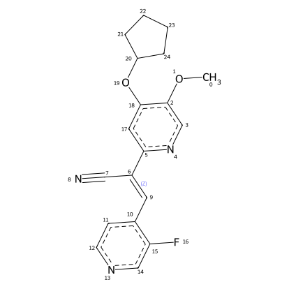 COc1cnc(/C(C#N)=C/c2ccncc2F)cc1OC1CCCC1